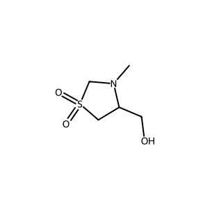 CN1CS(=O)(=O)CC1CO